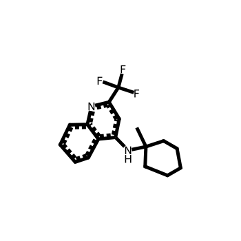 CC1(Nc2cc(C(F)(F)F)nc3ccccc23)CCCCC1